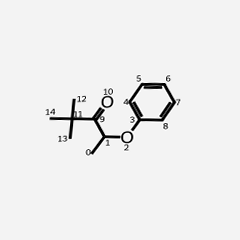 CC(Oc1ccccc1)C(=O)C(C)(C)C